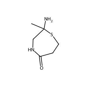 CC1(N)CNC(=O)CCS1